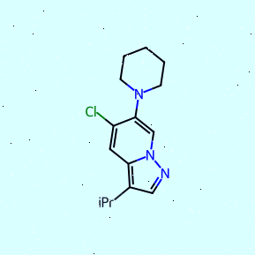 CC(C)c1cnn2cc(N3CCCCC3)c(Cl)cc12